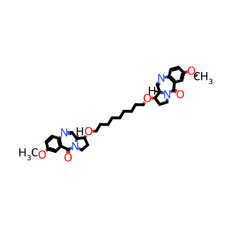 COc1ccc2c(c1)C(=O)N1CCC(OCCCCCCCCCOC3CCN4C(=O)c5cc(OC)ccc5N=C[C@@H]34)[C@@H]1C=N2